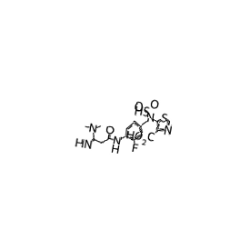 CN(C)C(=N)CC(=O)Nc1ccc(N(c2scnc2C(=O)O)[SH](=O)=O)cc1F